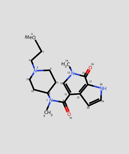 COCCN1CCC(N(C)C(=O)c2cn(C)c(=O)c3[nH]ccc23)CC1